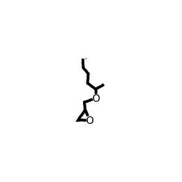 [CH2]CCCC(C)OCC1CO1